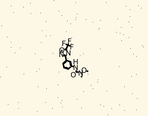 CON(C)C(=O)Nc1cccc(-c2noc(C(F)(F)F)n2)c1